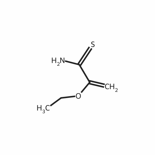 C=C(OCC)C(N)=S